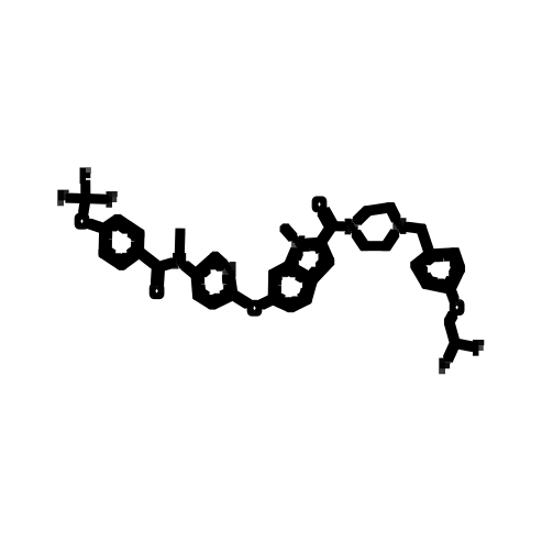 CN(C(=O)c1ccc(OC(F)(F)F)cc1)c1ccc(Oc2ccc3cc(C(=O)N4CCN(Cc5ccc(OCC(F)F)cc5)CC4)n(C)c3c2)nc1